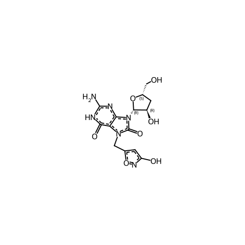 Nc1nc2c(c(=O)[nH]1)n(Cc1cc(O)no1)c(=O)n2[C@@H]1O[C@H](CO)C[C@H]1O